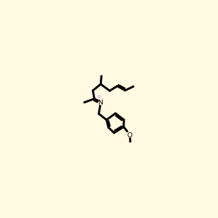 CC=CCC(C)C/C(C)=N/Cc1ccc(OC)cc1